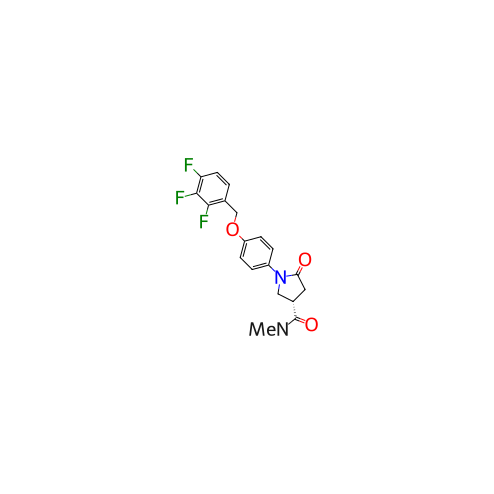 CNC(=O)[C@H]1CC(=O)N(c2ccc(OCc3ccc(F)c(F)c3F)cc2)C1